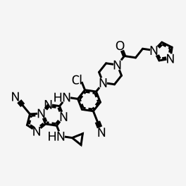 N#Cc1cc(Nc2nc(NC3CC3)c3ncc(C#N)n3n2)c(Cl)c(N2CCN(C(=O)CCn3ccnc3)CC2)c1